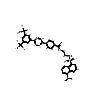 CN(C)c1cccc2c(S(=O)(=O)NCCNC(=O)c3ccc(-c4nnc(-c5cc(C(F)(F)F)cc(C(F)(F)F)c5)nn4)cc3)cccc12